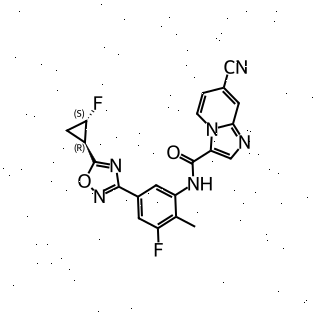 Cc1c(F)cc(-c2noc([C@H]3C[C@@H]3F)n2)cc1NC(=O)c1cnc2cc(C#N)ccn12